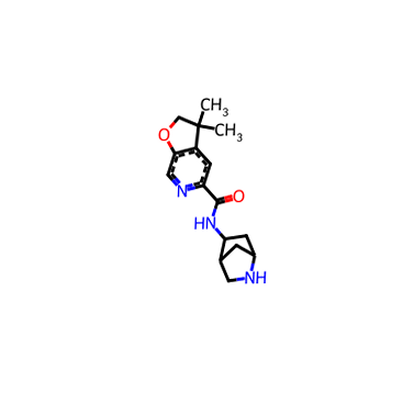 CC1(C)COc2cnc(C(=O)NC3CC4CC3CN4)cc21